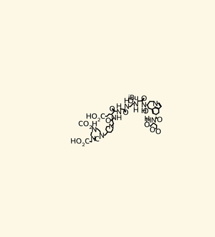 CCC(C)C(NC(=O)CNC(=O)CNC(=O)C(CCC(=O)O)NC(=O)CN1CCC(CN2CCN(CC(=O)O)CCN(CC(=O)O)CC2)CC1)C(=O)N[C@H]1CCn2ccc3c2C(=C[C@@H](C(=O)NC2CC(=O)OC2O)C3)C1=O